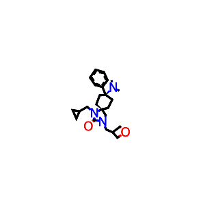 CN(C)[C@]1(c2ccccc2)CC[C@@]2(CC1)CN(CC1COC1)C(=O)N2CC1CC1